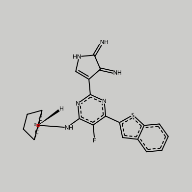 N=C1NC=C(c2nc(N[C@H]3CC4CCC3CC4)c(F)c(-c3cc4ccccc4s3)n2)C1=N